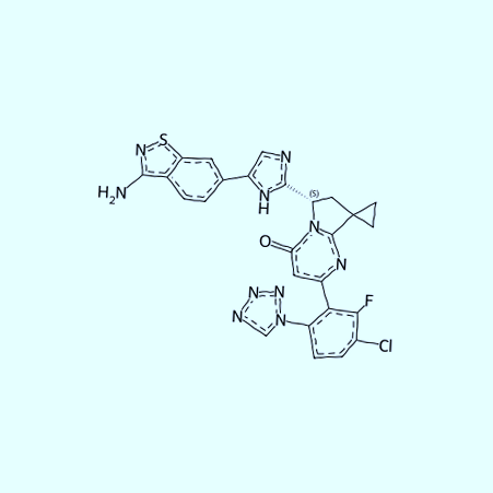 Nc1nsc2cc(-c3cnc([C@@H]4CC5(CC5)c5nc(-c6c(-n7cnnn7)ccc(Cl)c6F)cc(=O)n54)[nH]3)ccc12